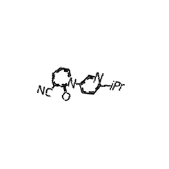 CC(C)c1ccc(-n2cccc(C#N)c2=O)cn1